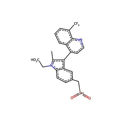 Cc1c(-c2ccnc3c(C(F)(F)F)cccc23)c2cc(C[SH](=O)=O)ccc2n1CC(=O)O